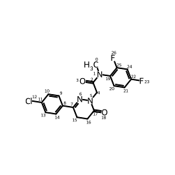 CN(C(=O)CN1N=C(c2ccc(Cl)cc2)CCC1=O)c1ccc(F)cc1F